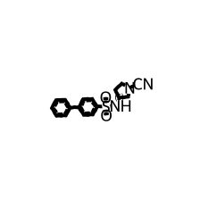 N#CN1CC[C@H](NS(=O)(=O)c2ccc(-c3ccccc3)cc2)C1